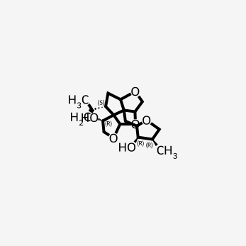 C=C(C)[C@@H]1CC2OCC3OC4OC[C@H](O)C41C23CC1OC[C@@H](C)[C@H]1O